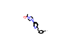 [CH2]c1cccc(CCc2ccc(N3CCN(C(C)=O)CC3)cn2)c1